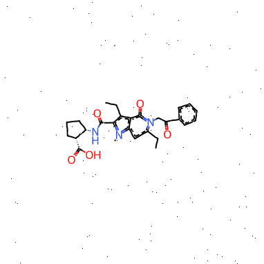 CCc1c(C(=O)N[C@H]2CCC[C@H]2C(=O)O)n(C)c2cc(CC)n(CC(=O)c3ccccc3)c(=O)c12